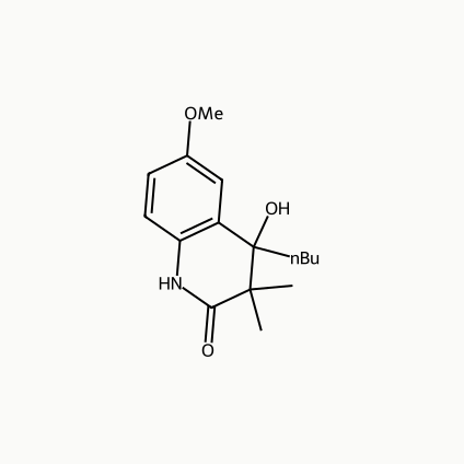 CCCCC1(O)c2cc(OC)ccc2NC(=O)C1(C)C